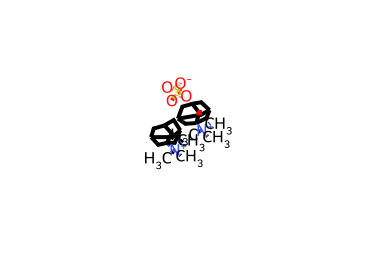 C[N+](C)(C)C12CC3CC(CC(C3)C1)C2.C[N+](C)(C)C12CC3CC(CC(C3)C1)C2.O=S(=O)([O-])[O-]